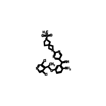 C[C@@H](Oc1ccc(N)c(C(=N)c2cnc(N3CC4(CCN(S(C)(=O)=O)C4)C3)nc2)c1)c1c(Cl)cncc1Cl